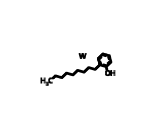 CCCCCCCCCc1ccccc1O.[W]